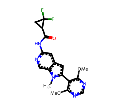 COc1ncnc(OC)c1-c1cc2cc(NC(=O)C3CC3(F)F)ncc2n1C